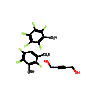 COc1c(F)c(F)cc(C(=O)O)c1F.O=S(=O)(O)c1c(F)c(F)c(F)c(F)c1F.OCC#CCO